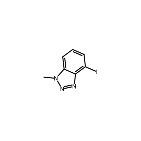 Cn1nnc2c(I)cccc21